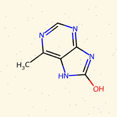 Cc1ncnc2nc(O)[nH]c12